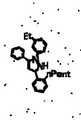 CCCCCc1ccccc1C1C=C(c2ccccc2)N(c2cccc(CC)c2)N1